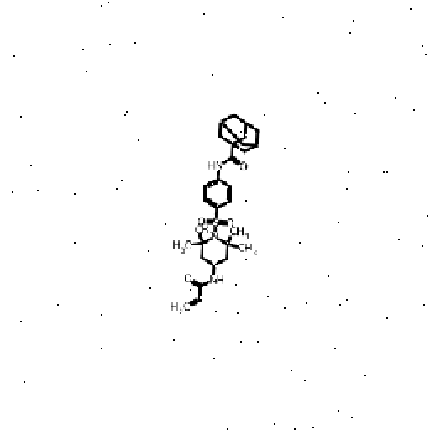 C=CC(=O)NC1CC(C)(C)N(S(=O)(=O)c2ccc(NC(=O)C34CC5CC(CC(C5)C3)C4)cc2)C(C)(C)C1